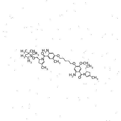 CC[C@@H]1CC(C)=CN1C(=O)c1cc(OC)c(OCCCCCOc2cc(N)c(C(=O)N3C=C(C)C[C@H]3CO[Si](C)(C)C(C)(C)C)cc2C)cc1N